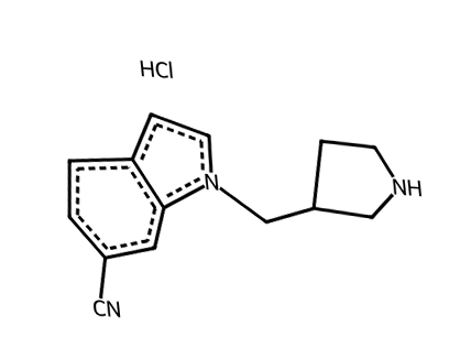 Cl.N#Cc1ccc2ccn(CC3CCNC3)c2c1